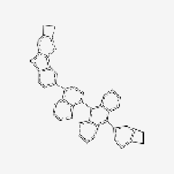 c1ccc2c(-c3c4ccccc4c(-c4ccc5c(c4)CC5)c4ccccc34)ccc(-c3ccc4oc5cc6c(cc5c4c3)CC6)c2c1